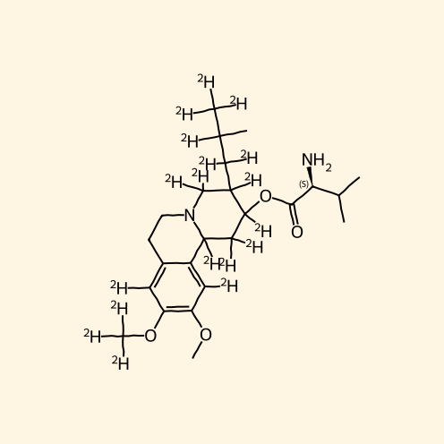 [2H]c1c2c(c([2H])c(OC)c1OC([2H])([2H])[2H])C1([2H])N(CC2)C([2H])([2H])C([2H])(C([2H])([2H])C([2H])(C)C([2H])([2H])[2H])C([2H])(OC(=O)[C@@H](N)C(C)C)C1([2H])[2H]